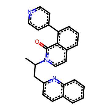 CC(Cc1ccc2ccccc2n1)n1ccc2cccc(-c3ccncc3)c2c1=O